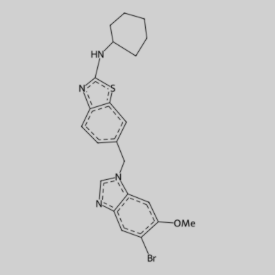 COc1cc2c(cc1Br)ncn2Cc1ccc2nc(NC3CCCCC3)sc2c1